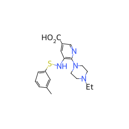 CCN1CCN(c2ncc(C(=O)O)cc2NSc2cccc(C)c2)CC1